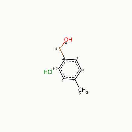 Cc1ccc(SO)cc1.Cl